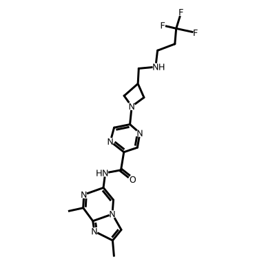 Cc1cn2cc(NC(=O)c3cnc(N4CC(CNCCC(F)(F)F)C4)cn3)nc(C)c2n1